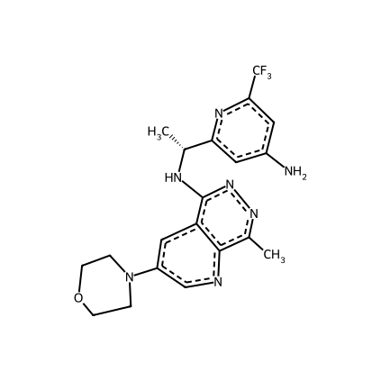 Cc1nnc(N[C@H](C)c2cc(N)cc(C(F)(F)F)n2)c2cc(N3CCOCC3)cnc12